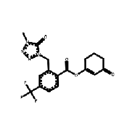 Cn1nnn(Cc2cc(C(F)(F)F)ccc2C(=O)OC2=CC(=O)CCC2)c1=O